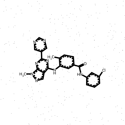 Cc1ccc(C(=O)Nc2cccc(Cl)c2)cc1Nc1nc(-c2cncnc2)nc2c1cnn2C